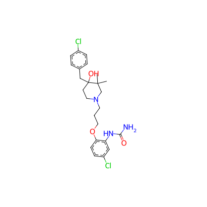 CC1(C)CN(CCCOc2ccc(Cl)cc2NC(N)=O)CCC1(O)Cc1ccc(Cl)cc1